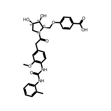 COc1cc(CC(=O)N2C[C@@H](O)[C@@H](O)[C@H]2COc2ccc(C(=O)O)cc2)ccc1NC(=O)Nc1ccccc1C